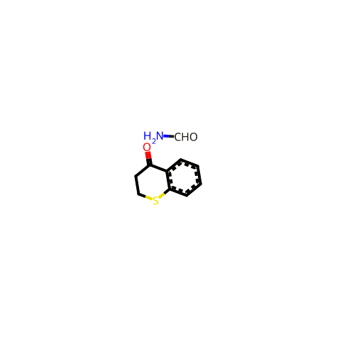 NC=O.O=C1CCSc2ccccc21